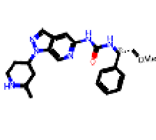 COC[C@@H](NC(=O)Nc1cc2cnn(C3CCNC(C)C3)c2cn1)c1ccccc1